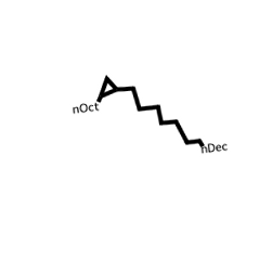 CCCCCCCCCCCCCCCCCC1CC1CCCCCCCC